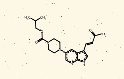 CC(C)COC(=O)N1CCN(c2cnc3[nH]cc(C=CC(N)=O)c3c2)CC1